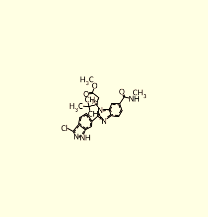 CNC(=O)c1ccc2nc(-c3ccc4c(Cl)n[nH]c4c3)n([C@H](CC(=O)OC)C(C)(C)C)c2c1